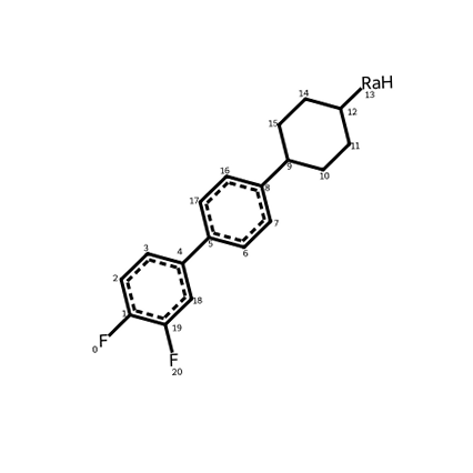 Fc1ccc(-c2ccc(C3CC[CH]([RaH])CC3)cc2)cc1F